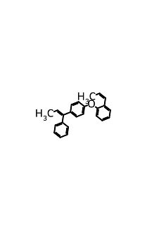 C/C=C\c1ccccc1Oc1ccc(/C(=C/C)c2ccccc2)cc1